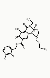 CCOC[C@H]1CC[C@H]2N(CC)C(=O)c3c(O)c(=O)c(C(=O)NCc4cccc(Cl)c4F)cn3N12